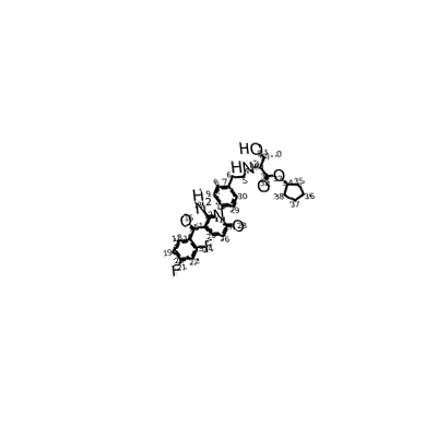 C[C@@H](O)[C@H](NCCc1ccc(-n2c(N)c(C(=O)c3ccc(F)cc3F)ccc2=O)cc1)C(=O)OC1CCCC1